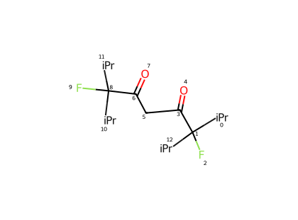 CC(C)C(F)(C(=O)CC(=O)C(F)(C(C)C)C(C)C)C(C)C